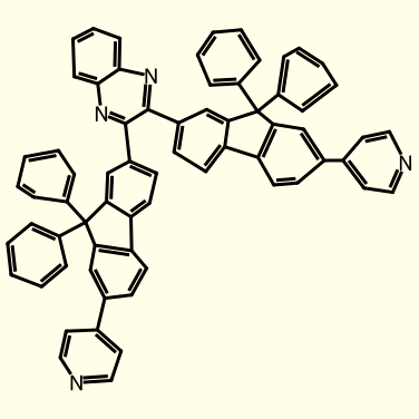 c1ccc(C2(c3ccccc3)c3cc(-c4ccncc4)ccc3-c3ccc(-c4nc5ccccc5nc4-c4ccc5c(c4)C(c4ccccc4)(c4ccccc4)c4cc(-c6ccncc6)ccc4-5)cc32)cc1